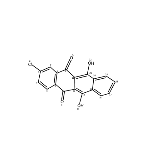 O=C1c2ccc(Cl)cc2C(=O)c2c1c(O)c1ccccc1c2O